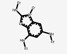 CCNc1cc(NCC)c2oc(NCC)[n+]([O-])c2c1